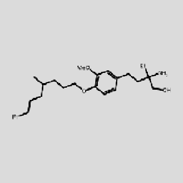 CCC(N)(CO)CCc1ccc(OCCCC(C)CCCC(C)C)c(OC)c1